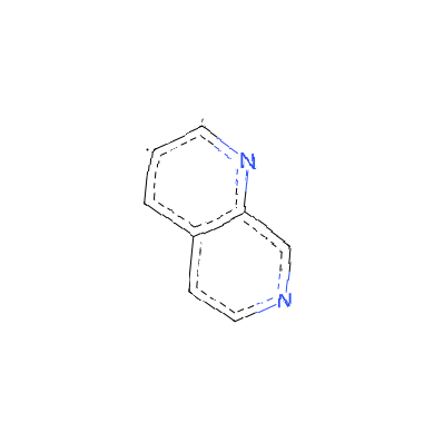 [c]1[c]nc2cnccc2c1